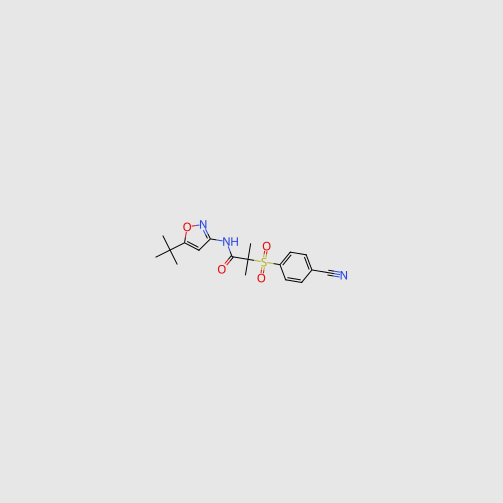 CC(C)(C)c1cc(NC(=O)C(C)(C)S(=O)(=O)c2ccc(C#N)cc2)no1